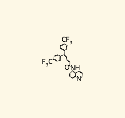 O=C(/C=C/C=C(c1ccc(C(F)(F)F)cc1)c1ccc(C(F)(F)F)cc1)Nc1cccc2ncccc12